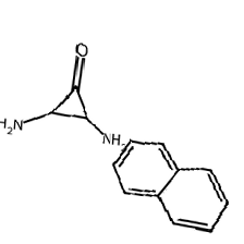 NC1C(=O)C1N.c1ccc2ccccc2c1